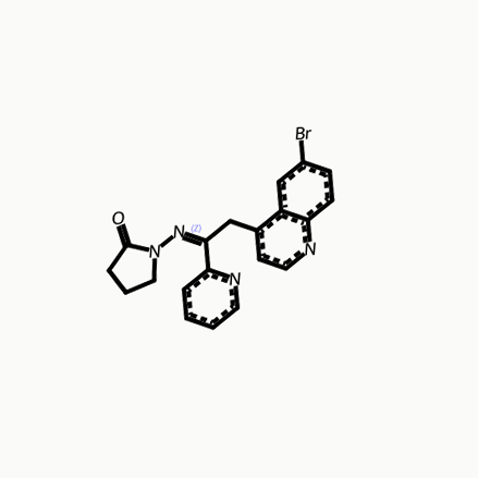 O=C1CCCN1/N=C(/Cc1ccnc2ccc(Br)cc12)c1ccccn1